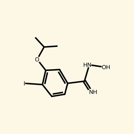 CC(C)Oc1cc(C(=N)NO)ccc1I